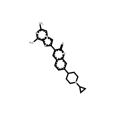 Cc1cn2cc(-c3cc4ccc(C5CCN(C6CC6)CC5)cc4oc3=O)nc2c(C)n1